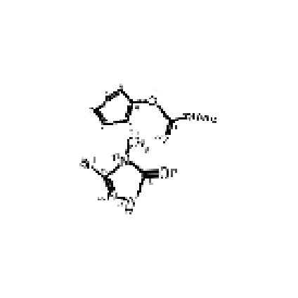 CNC(=O)Oc1ccccc1.Cn1c(Br)n[nH]c1=O